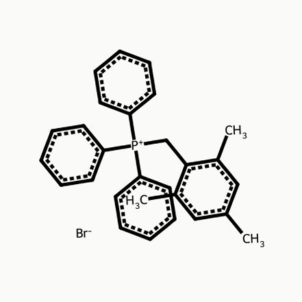 Cc1cc(C)c(C[P+](c2ccccc2)(c2ccccc2)c2ccccc2)c(C)c1.[Br-]